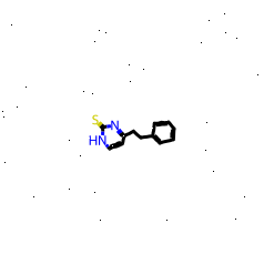 S=c1nc(CCc2ccccc2)cc[nH]1